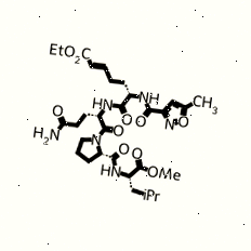 CCOC(=O)C=CCC[C@H](NC(=O)c1cc(C)on1)C(=O)N[C@@H](CCC(N)=O)C(=O)N1CCC[C@H]1C(=O)N[C@@H](CC(C)C)C(=O)OC